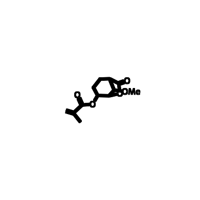 C=C(C)C(=O)OC1CCC2C(=O)OC1C2OC